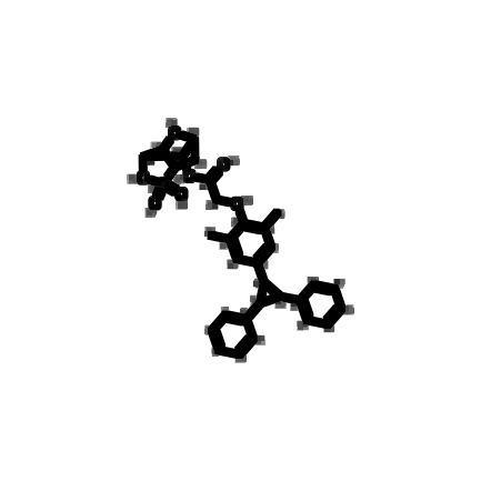 Cc1cc(C2C(c3ccccc3)C2c2ccccc2)cc(C)c1OCC(=O)OC1C2CC3C(O2)C1OS3(=O)=O